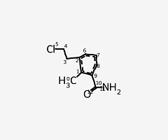 Cc1c(CCCl)cccc1C(N)=O